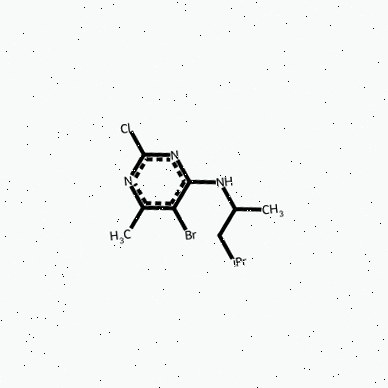 Cc1nc(Cl)nc(NC(C)CC(C)C)c1Br